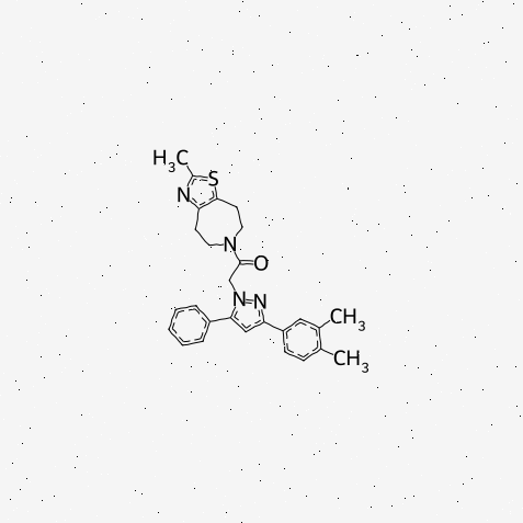 Cc1nc2c(s1)CCN(C(=O)Cn1nc(-c3ccc(C)c(C)c3)cc1-c1ccccc1)CC2